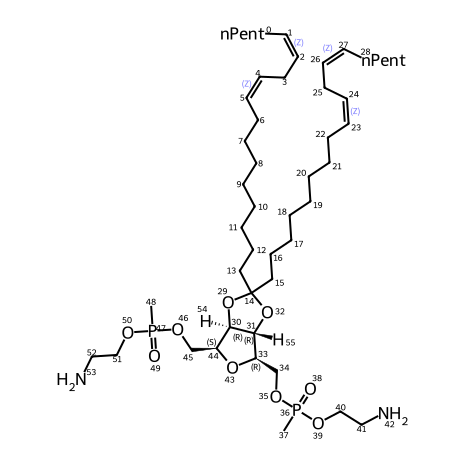 CCCCC/C=C\C/C=C\CCCCCCCCC1(CCCCCCCC/C=C\C/C=C\CCCCC)O[C@H]2[C@H](O1)[C@@H](COP(C)(=O)OCCN)O[C@H]2COP(C)(=O)OCCN